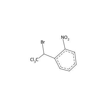 O=[N+]([O-])c1ccccc1C(Br)C(Cl)(Cl)Cl